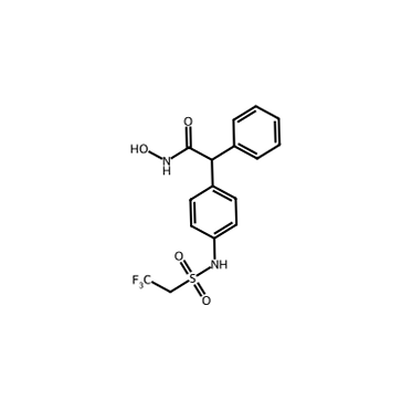 O=C(NO)C(c1ccccc1)c1ccc(NS(=O)(=O)CC(F)(F)F)cc1